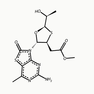 COC(=O)C[C@@H]1S[C@H]([C@H](C)O)O[C@H]1n1c(=O)sc2c(C)nc(N)nc21